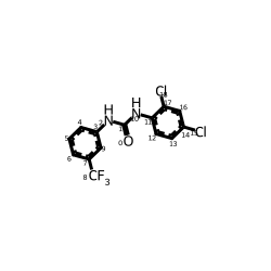 O=C(Nc1cccc(C(F)(F)F)c1)Nc1ccc(Cl)cc1Cl